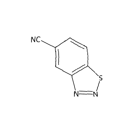 N#Cc1ccc2snnc2c1